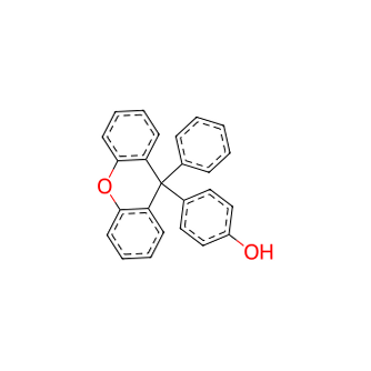 Oc1ccc(C2(c3ccccc3)c3ccccc3Oc3ccccc32)cc1